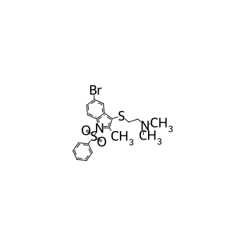 Cc1c(SCCN(C)C)c2cc(Br)ccc2n1S(=O)(=O)c1ccccc1